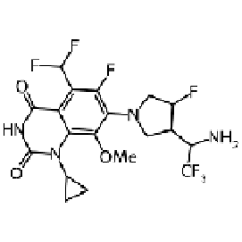 COc1c(N2CC(F)C(C(N)C(F)(F)F)C2)c(F)c(C(F)F)c2c(=O)[nH]c(=O)n(C3CC3)c12